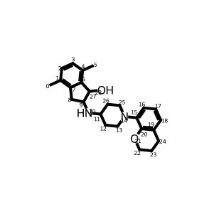 Cc1ccc(C)c2c1CC(NC1CCN(c3cccc4c3OCCC4)CC1)C2O